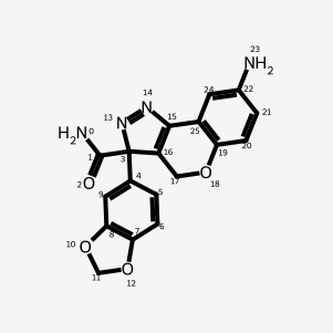 NC(=O)C1(c2ccc3c(c2)OCO3)N=NC2=C1COc1ccc(N)cc12